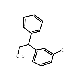 O=CCC(c1ccccc1)c1cccc(Cl)c1